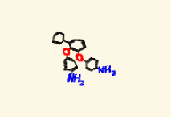 Nc1ccc(Oc2cccc(-c3ccccc3)c2Oc2ccc(N)cc2)cc1